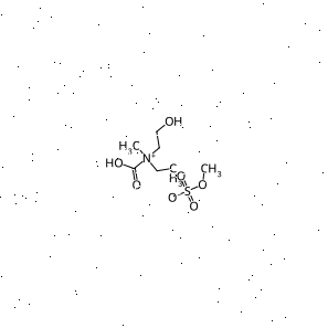 CC[N+](C)(CCO)C(=O)O.COS(=O)(=O)[O-]